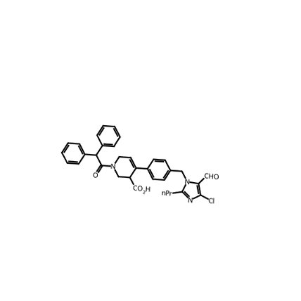 CCCc1nc(Cl)c(C=O)n1Cc1ccc(C2=CCN(C(=O)C(c3ccccc3)c3ccccc3)CC2C(=O)O)cc1